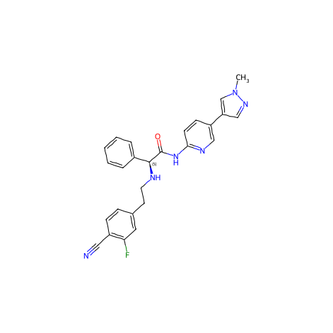 Cn1cc(-c2ccc(NC(=O)[C@@H](NCCc3ccc(C#N)c(F)c3)c3ccccc3)nc2)cn1